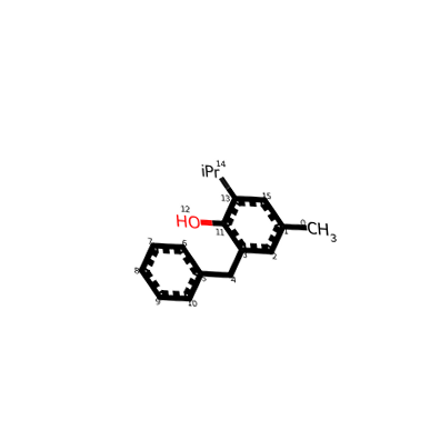 Cc1cc(Cc2ccccc2)c(O)c(C(C)C)c1